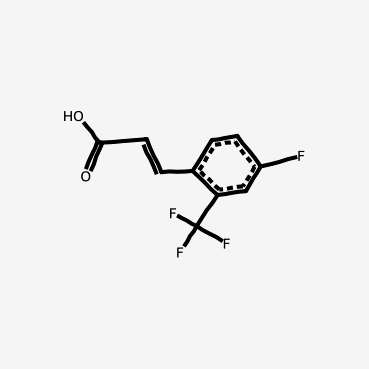 O=C(O)C=Cc1ccc(F)cc1C(F)(F)F